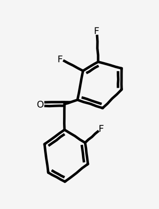 O=C(c1ccccc1F)c1cccc(F)c1F